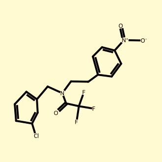 O=C(N(CCc1ccc([N+](=O)[O-])cc1)Cc1cccc(Cl)c1)C(F)(F)F